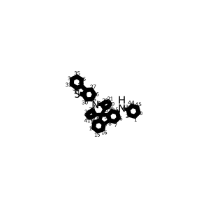 c1ccc(Nc2ccc3c(c2)C2(c4ccccc4-3)c3ccccc3N(c3ccc4c(c3)sc3ccccc34)c3ccccc32)cc1